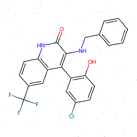 O=c1[nH]c2ccc(C(F)(F)F)cc2c(-c2cc(Cl)ccc2O)c1NCc1ccccc1